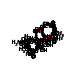 C/C=C1\CC(=O)[C@H](Cc2ccccc2)NC(=O)[C@@H]2CCCN2C(=O)[C@H](C(C)C)NC(=O)[C@H](Cc2c[nH]c3ccccc23)NC(=O)[C@]23CSC[C@H](NC1=O)C(=O)N[C@H](C(=O)O)CSSC[C@@H](CC(=O)[C@@H]1CSC[C@]4(C[C@H](N)C(=O)N[C@@H](CC(N)=O)C(=O)N[C@@H](C)C(=O)N4)C(=O)N[C@@H](C(C)C)C(=O)N[C@@H](Cc4c[nH]c5ccccc45)C(=O)N[C@@H](CCC(=O)O)C(=O)N1)C(=O)N[C@@H](C2)C(=O)N[C@@H]([C@@H](C)O)C(=O)NCC(=O)N3